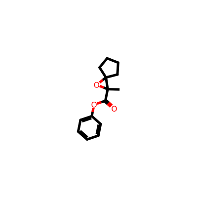 CC1(C(=O)Oc2ccccc2)OC12CCCC2